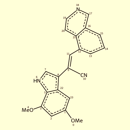 COc1cc(OC)c2[nH]cc(/C(C#N)=C/c3cccc4cnccc34)c2c1